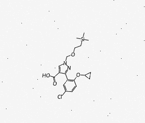 C[Si](C)(C)CCOCn1cc(C(=O)O)c(-c2cc(Cl)ccc2OC2CC2)n1